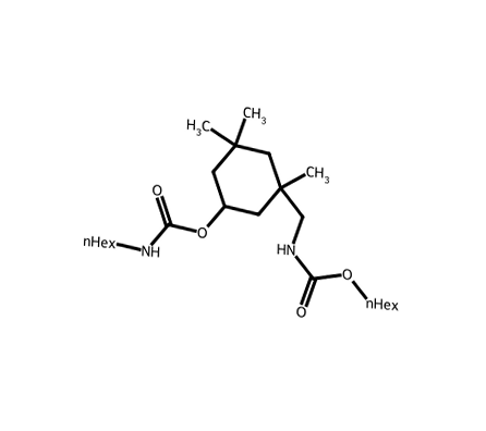 CCCCCCNC(=O)OC1CC(C)(C)CC(C)(CNC(=O)OCCCCCC)C1